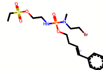 CCS(=O)(=O)OCCNP(=O)(OCC/C=C/c1ccccc1)N(C)CCBr